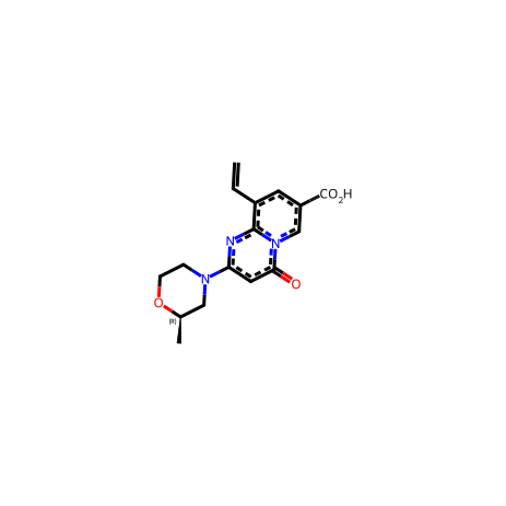 C=Cc1cc(C(=O)O)cn2c(=O)cc(N3CCO[C@H](C)C3)nc12